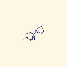 Cc1ccc(N2CCCC2)nc1